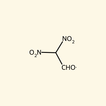 O=[C]C([N+](=O)[O-])[N+](=O)[O-]